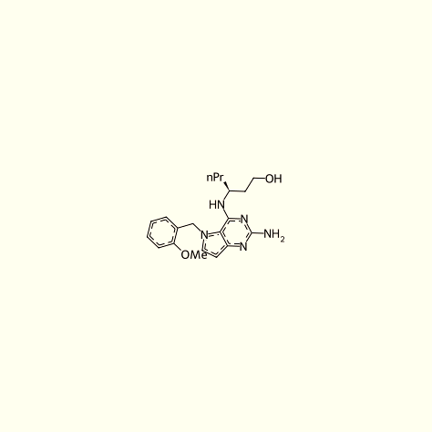 CCC[C@@H](CCO)Nc1nc(N)nc2ccn(Cc3ccccc3OC)c12